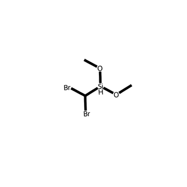 CO[SiH](OC)C(Br)Br